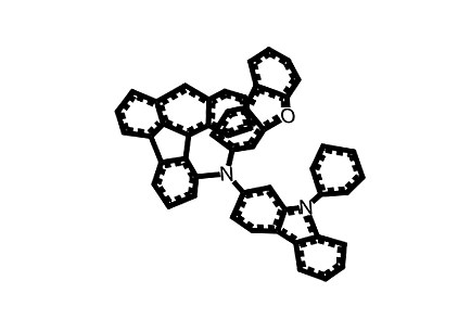 c1ccc(-n2c3ccccc3c3ccc(N(c4ccc5c(c4)oc4ccccc45)c4cccc5c4-c4c6ccccc6cc6cccc-5c46)cc32)cc1